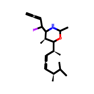 C=C=CC(I)C1NC(C)OC([C@H](C)C=C=C[C@@H](C)C(C)C)[C@@H]1C